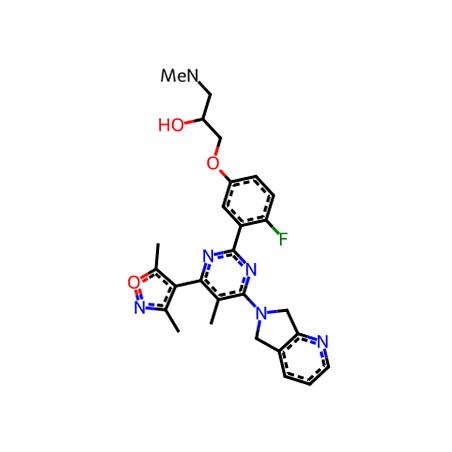 CNCC(O)COc1ccc(F)c(-c2nc(-c3c(C)noc3C)c(C)c(N3Cc4cccnc4C3)n2)c1